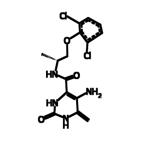 C=C1NC(=O)NC(C(=O)N[C@H](C)COc2c(Cl)cccc2Cl)=C1N